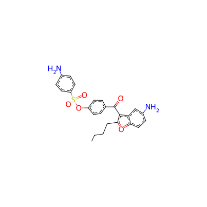 CCCCc1oc2ccc(N)cc2c1C(=O)c1ccc(OS(=O)(=O)c2ccc(N)cc2)cc1